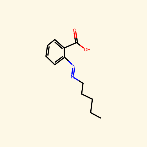 CCCCCN=Nc1ccccc1C(=O)O